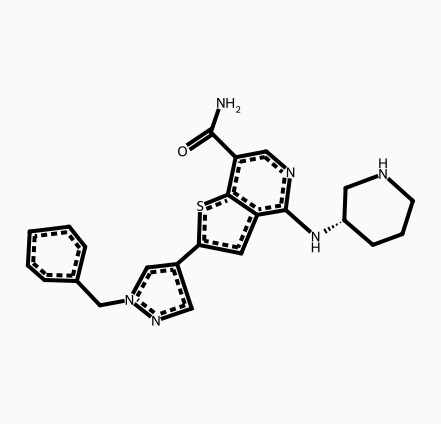 NC(=O)c1cnc(N[C@H]2CCCNC2)c2cc(-c3cnn(Cc4ccccc4)c3)sc12